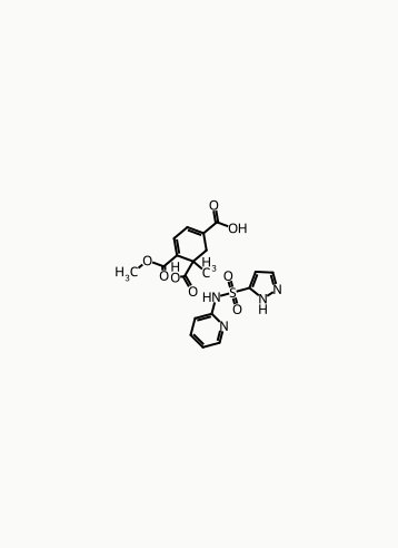 COC(=O)C1=CC=C(C(=O)O)CC1(C)C(=O)O.O=S(=O)(Nc1ccccn1)c1ccn[nH]1